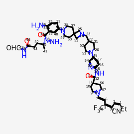 CC\C=C/C(C#N)=C(\C=C\N1CCC(C(=O)Nc2ccc(N3CCC(CN4CC5(CCN(c6ccc(N)c(C(=O)N(N)C(C)CCC(=O)NC=O)c6)CC5)C4)CC3)cn2)CC1)C(F)(F)F